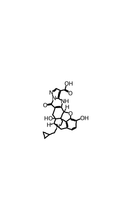 O=C(O)c1cnn2c(=O)c3c([nH]c12)[C@@H]1Oc2c(O)ccc4c2[C@@]12CCN(CC1CC1)[C@H](C4)[C@]2(O)C3